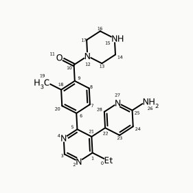 CCc1ncnc(-c2ccc(C(=O)N3CCNCC3)c(C)c2)c1-c1ccc(N)nc1